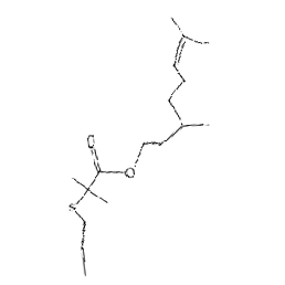 CCCSC(C)(C)C(=O)OCCC(C)CCC=C(C)C